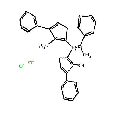 CC1=[C]([Hf+2]([C]2=C(C)C(c3ccccc3)=CC2)=[Ge]([CH3])[c]2ccccc2)CC=C1c1ccccc1.[Cl-].[Cl-]